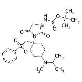 CC(C)N(C)C1CCC(CS(=O)(=O)c2ccccc2)(N2C(=O)C[C@H](NC(=O)OC(C)(C)C)C2=O)CC1